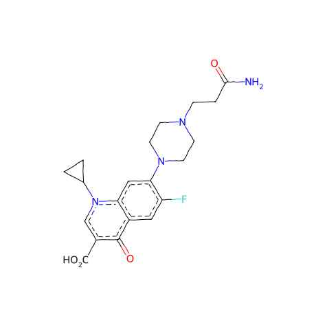 NC(=O)CCN1CCN(c2cc3c(cc2F)c(=O)c(C(=O)O)cn3C2CC2)CC1